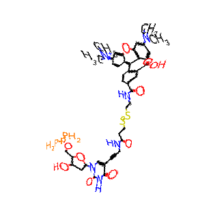 CN(C)c1ccc2c(-c3ccc(C(=O)NCCSSCCC(=O)NCC#Cc4cn(C5CC(O)C(COP(P)P)O5)c(=O)[nH]c4=O)cc3C(=O)O)c3ccc(=[N+](C)C)cc-3oc2c1